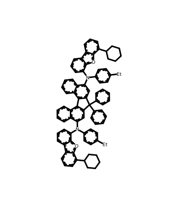 CCc1ccc(N(c2cc3c(c4ccccc24)-c2c(cc(N(c4ccc(CC)cc4)c4cccc5c4oc4c(C6CCCCC6)cccc45)c4ccccc24)C3(c2ccccc2)c2ccccc2)c2cccc3c2oc2c(C4CCCCC4)cccc23)cc1